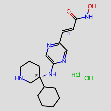 Cl.Cl.O=C(/C=C/c1cnc(N[C@@]2(C3CCCCC3)CCCNC2)cn1)NO